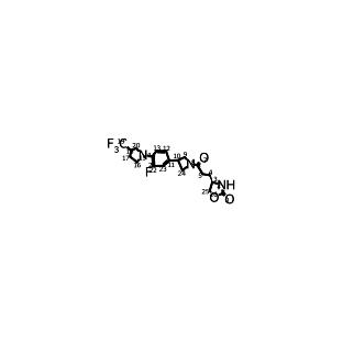 O=C1N[C@H](CCC(=O)N2CC(c3ccc(N4CCC(C(F)(F)F)C4)c(F)c3)C2)CO1